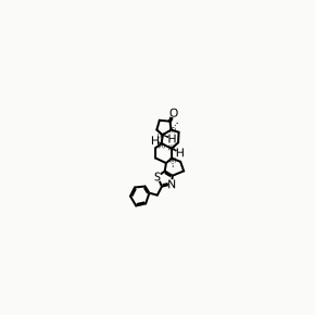 C[C@]12CCc3nc(Cc4ccccc4)sc3C1CC[C@@H]1[C@@H]2CC[C@]2(C)C(=O)CC[C@@H]12